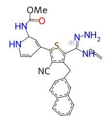 C=CN/C(=N\N)c1sc(C2=CC(NC(=O)OC)NC=C2)c(C#N)c1Cc1ccc2ccccc2c1